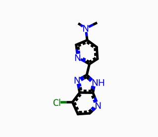 CN(C)c1ccc(-c2nc3c(Cl)ccnc3[nH]2)nc1